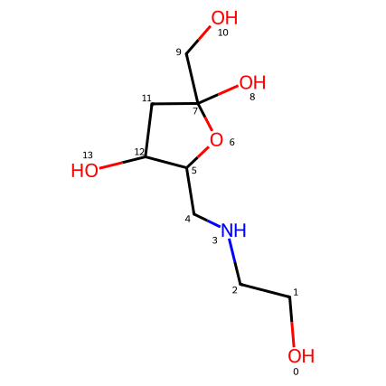 OCCNCC1OC(O)(CO)CC1O